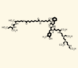 Cc1cc(CC(NC(=O)CCC(NCCN(CCN(CCNCC(=O)O)CC(=O)O)CC(=O)O)C(=O)O)C(=O)NC(Cc2ccccc2)C(=O)NC(CCCCNC(=O)CCCCCCC(=O)NCCCCC(NC(=O)NC(CCC(=O)O)C(=O)O)C(=O)O)C(=O)O)ccc1O